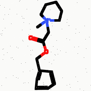 C[N+]1(CC(=O)OCc2ccccc2)CCCCC1